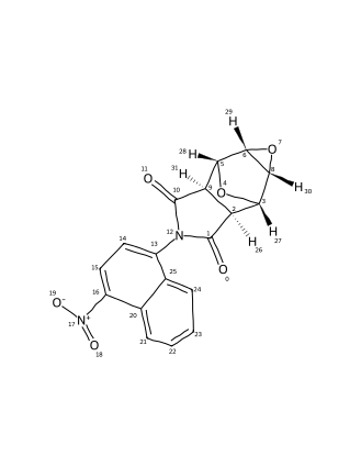 O=C1[C@@H]2[C@@H]3O[C@@H]([C@@H]4O[C@@H]43)[C@@H]2C(=O)N1c1ccc([N+](=O)[O-])c2ccccc12